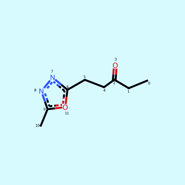 CCC(=O)CCc1nnc(C)o1